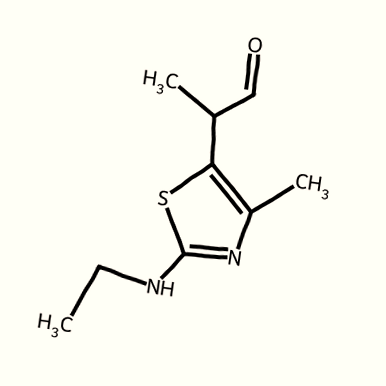 CCNc1nc(C)c(C(C)C=O)s1